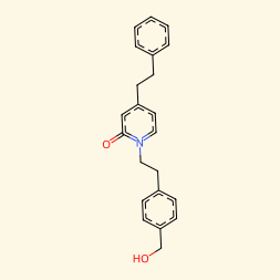 O=c1cc(CCc2ccccc2)ccn1CCc1ccc(CO)cc1